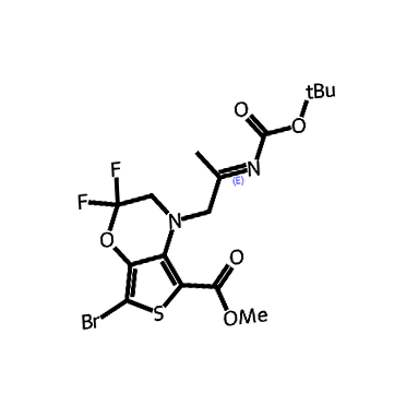 COC(=O)c1sc(Br)c2c1N(C/C(C)=N/C(=O)OC(C)(C)C)CC(F)(F)O2